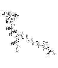 C=CC(=O)OCC(O)COCCCCOCC(COC(=O)C=C)OC(=O)NCCC[Si](OCC)(OCC)OCC